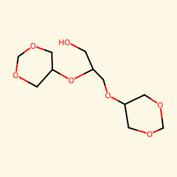 OCC(COC1COCOC1)OC1COCOC1